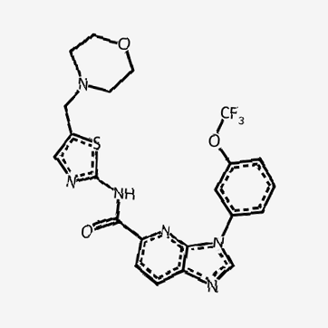 O=C(Nc1ncc(CN2CCOCC2)s1)c1ccc2ncn(-c3cccc(OC(F)(F)F)c3)c2n1